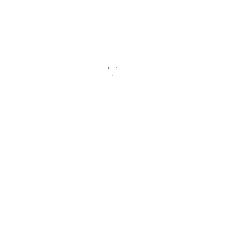 CSc1ccccc1CC[S]